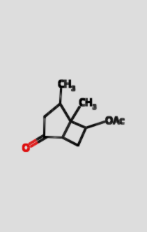 CC(=O)OC1CC2C(=O)CC(C)C12C